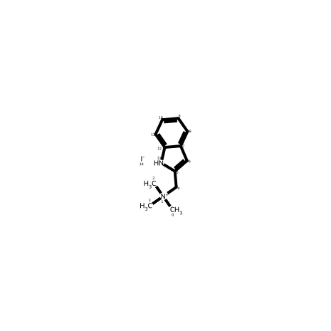 C[N+](C)(C)Cc1cc2ccccc2[nH]1.[I-]